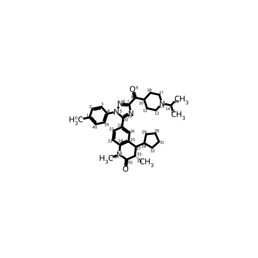 Cc1ccc(-n2nc(C(=O)C3CCN(C(C)C)CC3)nc2-c2ccc3c(c2)C(C2CCCC2)[C@H](C)C(=O)N3C)cc1